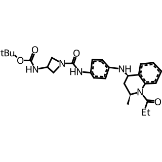 CCC(=O)N1c2ccccc2[C@H](Nc2ccc(NC(=O)N3CC(NC(=O)OC(C)(C)C)C3)cc2)C[C@@H]1C